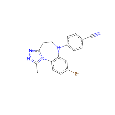 Cc1nnc2n1-c1ccc(Br)cc1N(c1ccc(C#N)cc1)CC2